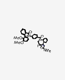 CNC(=O)/C=C1/c2ccccc2N(C(=O)c2ccc(NC(=O)c3ccccc3-c3cccc(OC)c3OC)cc2)CCC1(F)F